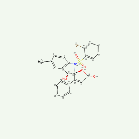 Cc1ccc2c(c1)[C@H](O)[C@]1(OC(=O)C=C1c1ccccc1)N2S(=O)(=O)c1ccccc1Br